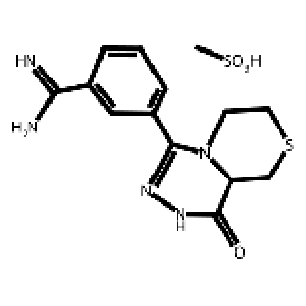 CS(=O)(=O)O.N=C(N)c1cccc(C2=NNC(=O)C3CSCCN23)c1